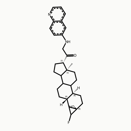 C[C@]12CCC3C(CC[C@H]4C5C(F)[C@@]5(O)CC[C@H]34)C1CC[C@@H]2C(=O)CNc1ccc2ncccc2c1